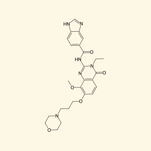 CCn1c(NC(=O)c2ccc3[nH]cnc3c2)nc2c(OC)c(OCCCN3CCOCC3)ccc2c1=O